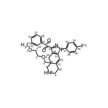 COCCOCC12CNCCC1=Cc1c(c(S(=O)(=O)c3ccccc3)nn1-c1ccc(F)cc1)C2